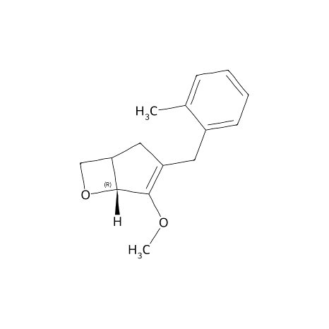 COC1=C(Cc2ccccc2C)CC2CO[C@@H]12